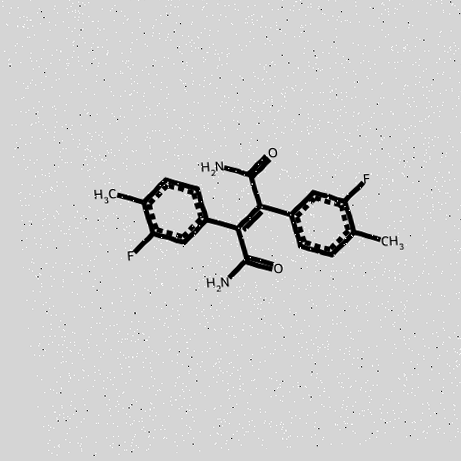 Cc1ccc(/C(C(N)=O)=C(\C(N)=O)c2ccc(C)c(F)c2)cc1F